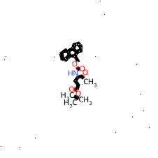 CC(=O)C(CCC(=O)OC(C)(C)C)NC(=O)OCC1c2ccccc2-c2ccccc21